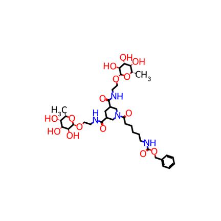 C[C@@H]1O[C@@H](OCCNC(=O)C2CC(C(=O)NCCO[C@@H]3O[C@@H](C)[C@@H](O)[C@@H](O)[C@@H]3O)CN(C(=O)CCCCCNC(=O)OCc3ccccc3)C2)[C@@H](O)[C@H](O)[C@@H]1O